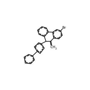 C=C1c2ccc(Br)cc2-c2ccccc2C1c1ccc(-c2ccccc2)cc1